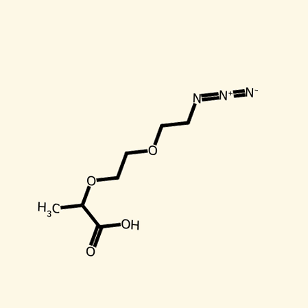 CC(OCCOCCN=[N+]=[N-])C(=O)O